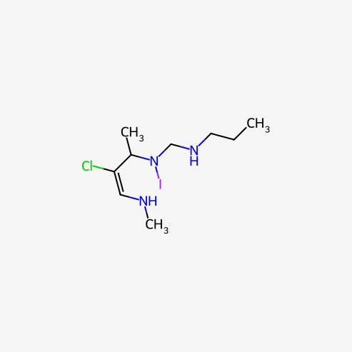 CCCNCN(I)C(C)/C(Cl)=C\NC